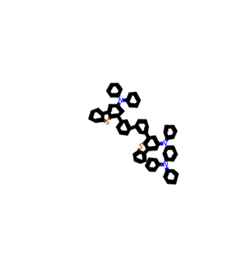 c1ccc(N(c2ccccc2)c2cccc(N(c3ccccc3)c3cc(-c4cccc(-c5cccc(-c6cc(N(c7ccccc7)c7ccccc7)cc7c6sc6ccccc67)c5)c4)c4sc5ccccc5c4c3)c2)cc1